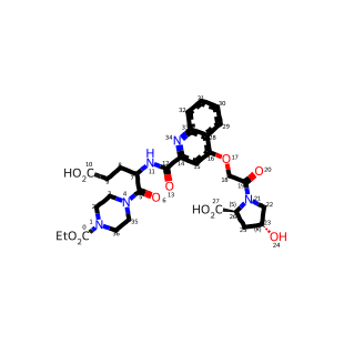 CCOC(=O)N1CCN(C(=O)C(CCC(=O)O)NC(=O)c2cc(OCC(=O)N3C[C@H](O)C[C@H]3C(=O)O)c3ccccc3n2)CC1